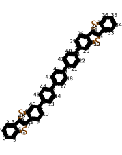 c1ccc2c(c1)sc1c3ccc(-c4ccc(-c5ccc(-c6ccc(-c7ccc8c(c7)sc7c9ccccc9sc87)cc6)cc5)cc4)cc3sc21